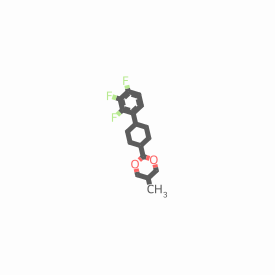 CC1COC(C2CCC(c3ccc(F)c(F)c3F)CC2)OC1